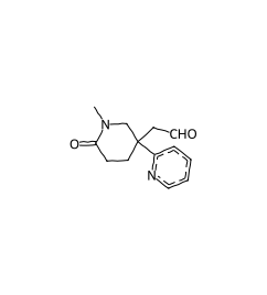 CN1CC(CC=O)(c2ccccn2)CCC1=O